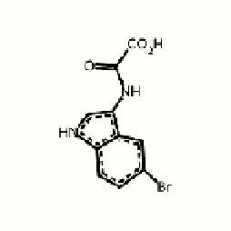 O=C(O)C(=O)Nc1c[nH]c2ccc(Br)cc12